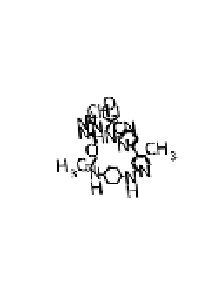 Cc1cnc(N[C@H]2CC[C@H](N[C@H](C)COCc3nnn(C)n3)CC2)cc1-c1cccc(NCC2(C#N)CCOCC2)n1